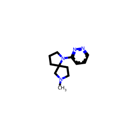 CN1CCC2(CCCN2c2cccnn2)C1